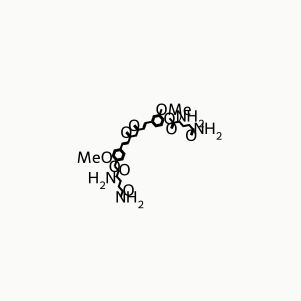 COc1cc(/C=C/C(=O)CC(=O)/C=C/c2ccc(OC(=O)[C@@H](N)CCC(N)=O)c(OC)c2)ccc1OC(=O)[C@@H](N)CCC(N)=O